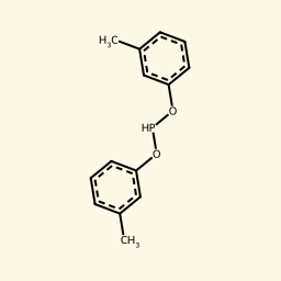 Cc1cccc(OPOc2cccc(C)c2)c1